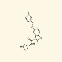 Cc1oc2ccc(OCc3ccn(C)n3)cc2c1C(=O)N[C@H]1CCNC1